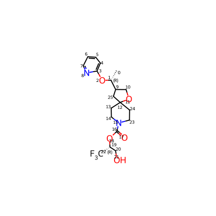 C[C@@H](Oc1ccccn1)C1COC2(CCN(C(=O)O[C@H](CO)C(F)(F)F)CC2)C1